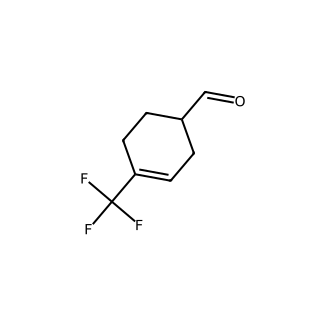 O=CC1CC=C(C(F)(F)F)CC1